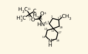 CC1C[C@@H](NC(=O)OC(C)(C)C)C2(CCNCC2)C1